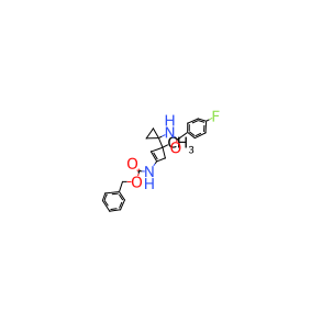 CC1(C2(NC(=O)c3ccc(F)cc3)CC2)C=C(NC(=O)OCc2ccccc2)C1